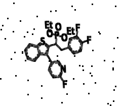 CCOP(=O)(OCC)C(Cc1ccc(F)c(F)c1)c1sc2ccccc2c1-c1ccc(F)nc1